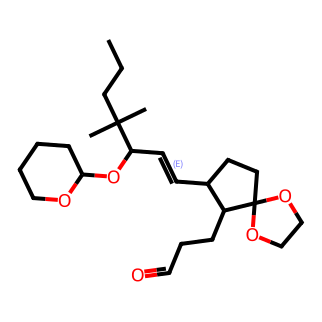 CCCC(C)(C)C(/C=C/C1CCC2(OCCO2)C1CCC=O)OC1CCCCO1